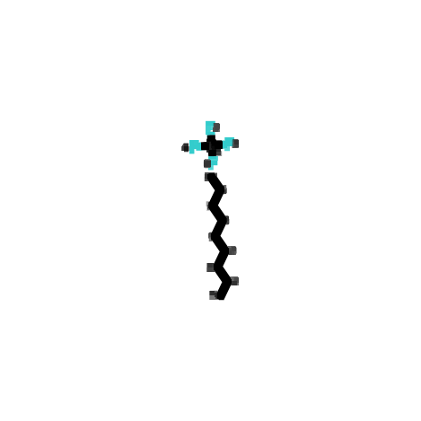 F[B-](F)(F)F.[CH2]CCCCCCCC